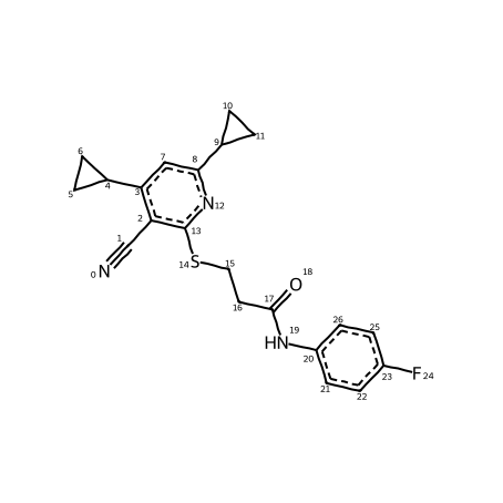 N#Cc1c(C2CC2)cc(C2CC2)nc1SCCC(=O)Nc1ccc(F)cc1